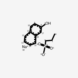 CCCS(=O)(=O)[O-].Oc1ccc2ccccc2c1.[Na+]